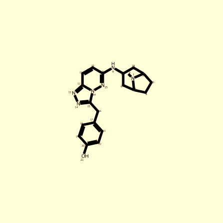 CN1C2CCC1CC(Nc1ccc3nnc(Cc4ccc(O)cc4)n3n1)C2